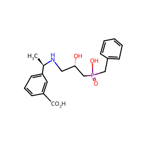 C[C@@H](NC[C@H](O)CP(=O)(O)Cc1ccccc1)c1cccc(C(=O)O)c1